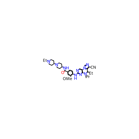 CC[C@@H]1c2c(C#N)ncn2-c2cnc(Nc3ccc(C(=O)NC4CCN(C5CCN(CC)CC5)CC4)cc3OC)nc2N1C(C)C